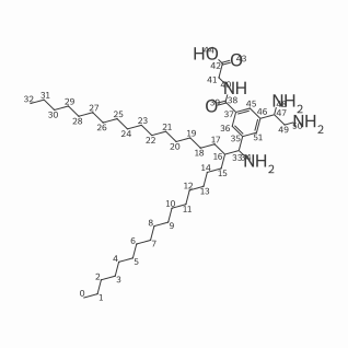 CCCCCCCCCCCCCCCCC(CCCCCCCCCCCCCCCC)C(N)c1cc(C(=O)NCC(=O)O)cc(C(N)CN)c1